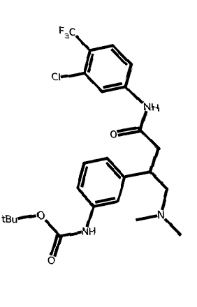 CN(C)CC(CC(=O)Nc1ccc(C(F)(F)F)c(Cl)c1)c1cccc(NC(=O)OC(C)(C)C)c1